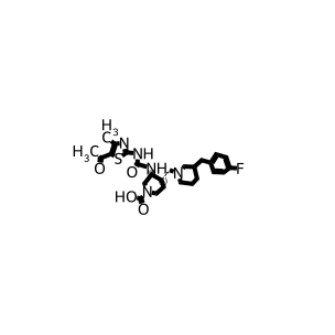 CC(=O)c1sc(NC(=O)N[C@H]2CN(C(=O)O)CC[C@H]2CN2CCCC(Cc3ccc(F)cc3)C2)nc1C